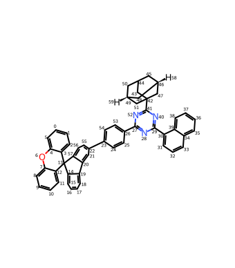 c1ccc2c(c1)Oc1ccccc1C21c2ccccc2-c2cc(-c3ccc(-c4nc(-c5cccc6ccccc56)nc(C56CC7C[C@H](C5)C[C@@H](C7)C6)n4)cc3)ccc21